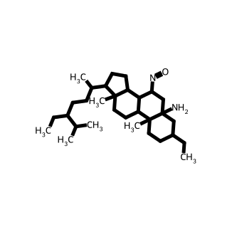 CCC1CCC2(C)C3CCC4(C)C(C(C)CCC(CC)C(C)C)CCC4C3C(N=O)CC2(N)C1